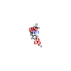 CCOC(=O)Oc1ccc(C[C@H](CO)NC(=O)OC(C)(C)C)cc1